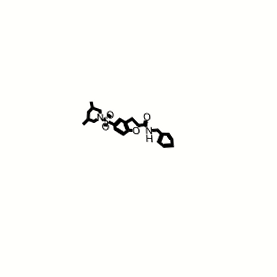 CC1CC(C)CN(S(=O)(=O)c2ccc3c(c2)CC(C(=O)NCc2ccccc2)O3)C1